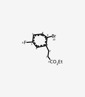 CCOC(=O)CCc1cc(F)ccc1Br